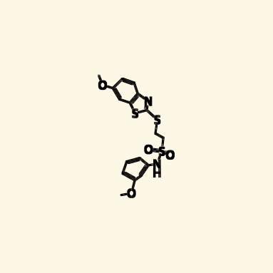 COc1cccc(NS(=O)(=O)CCSc2nc3ccc(OC)cc3s2)c1